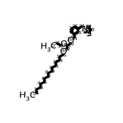 CCCCCCCCCCCCCCCCOCC(COCc1cccc(C[n+]2ccsc2)c1)OCCC